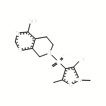 Cc1nn(C)c(Cl)c1S(=O)(=O)N1CCc2c(N)ncnc2C1